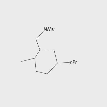 CCCC1CCC(C)C(CNC)C1